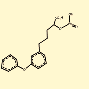 O=[PH](O)OC(CCCc1cccc(Oc2ccccc2)c1)S(=O)(=O)O